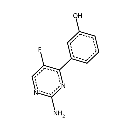 Nc1ncc(F)c(-c2cccc(O)c2)n1